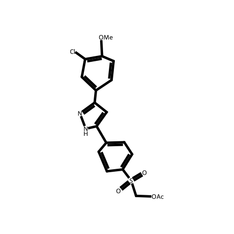 COc1ccc(-c2cc(-c3ccc(S(=O)(=O)COC(C)=O)cc3)[nH]n2)cc1Cl